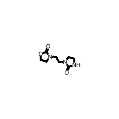 O=C1NCCN1CCN1CCOC1=O